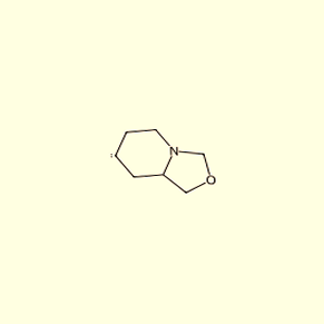 [C]1CCN2COCC2C1